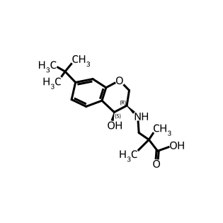 CC(C)(CN[C@@H]1COc2cc(C(C)(C)C)ccc2[C@@H]1O)C(=O)O